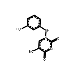 Cc1cccc(Nn2cc(C#N)c(=O)[nH]c2=O)c1